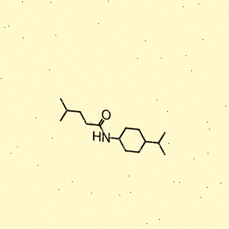 CC(C)CCC(=O)NC1CCC(C(C)C)CC1